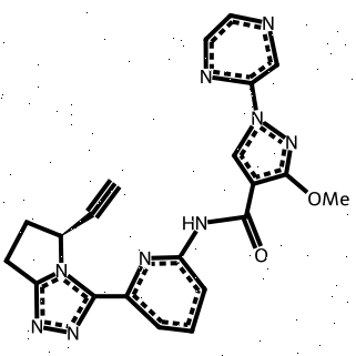 C#C[C@@H]1CCc2nnc(-c3cccc(NC(=O)c4cn(-c5cnccn5)nc4OC)n3)n21